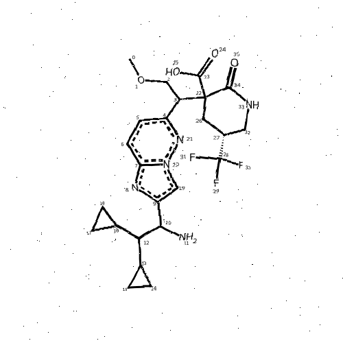 COCC(c1ccc2nc(C(N)C(C3CC3)C3CC3)cn2n1)C1(C(=O)O)C[C@@H](C(F)(F)F)CNC1=O